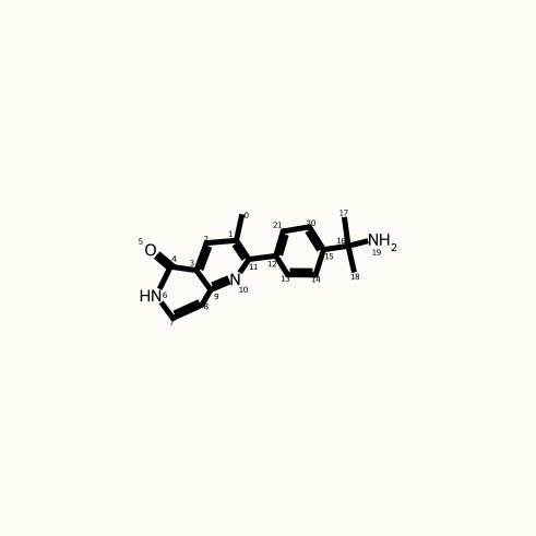 Cc1cc2c(=O)[nH]ccc2nc1-c1ccc(C(C)(C)N)cc1